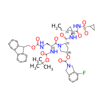 C=C[C@@H]1C[C@]1(NC(=O)[C@@H]1C[C@@H](OC(=O)N2Cc3cccc(F)c3C2)CN1C(=O)[C@H](CNC(=O)OCC1c2ccccc2-c2ccccc21)NC(=O)OC(C)(C)C)C(=O)NS(=O)(=O)C1CC1